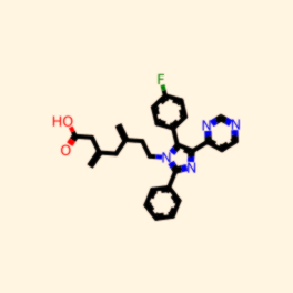 C=C(CCn1c(-c2ccccc2)nc(-c2ccncn2)c1-c1ccc(F)cc1)CC(=C)CC(=O)O